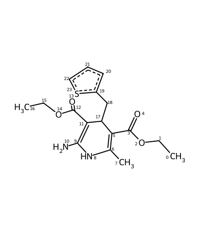 CCOC(=O)C1=C(C)NC(N)=C(C(=O)OCC)C1Cc1cccs1